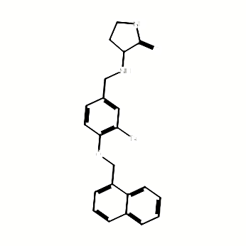 O=C1NCCC1NCc1ccc(OCc2cccc3ccccc23)c(Br)c1